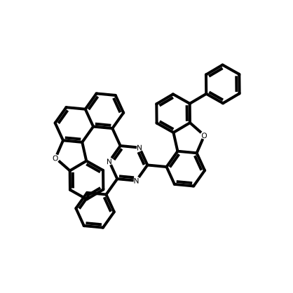 c1ccc(-c2nc(-c3cccc4oc5c(-c6ccccc6)cccc5c34)nc(-c3cccc4ccc5oc6ccccc6c5c34)n2)cc1